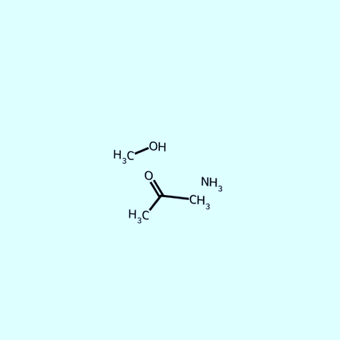 CC(C)=O.CO.N